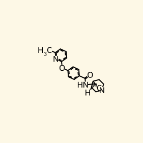 Cc1cccc(Oc2ccc(C(=O)N[C@H]3CN4CCC3CC4)cc2)n1